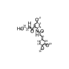 COc1ccc(NC(=O)C=Cc2ccc(OC)c(OC)c2)c(C(=O)NCCO)c1